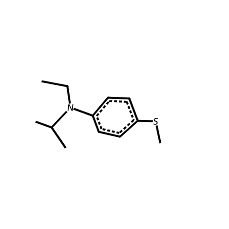 CCN(c1ccc(SC)cc1)C(C)C